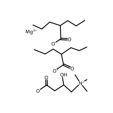 CCCC(CCC)C(=O)[O-].CCCC(CCC)C(=O)[O-].C[N+](C)(C)CC(O)CC(=O)[O-].[Mg+2]